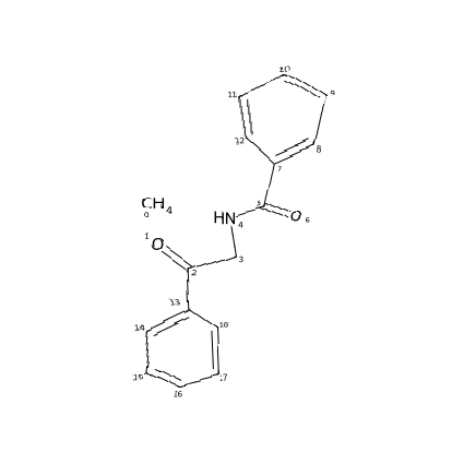 C.O=C(CNC(=O)c1ccccc1)c1ccccc1